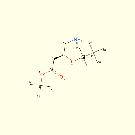 CC(C)(C)OC(=O)C[C@@H](CN)O[Si](C)(C)C(C)(C)C